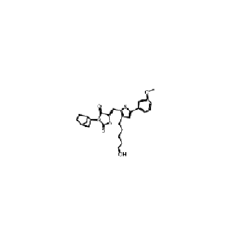 COc1cccc(-c2cc(CCCCCO)c(/C=C3\SC(=S)N(C4CC5CCC4C5)C3=O)s2)c1